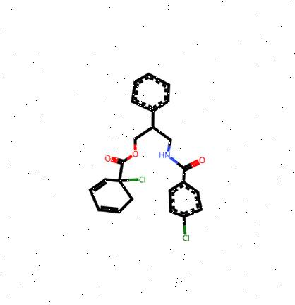 O=C(NCC(COC(=O)C1(Cl)C=CC=CC1)c1ccccc1)c1ccc(Cl)cc1